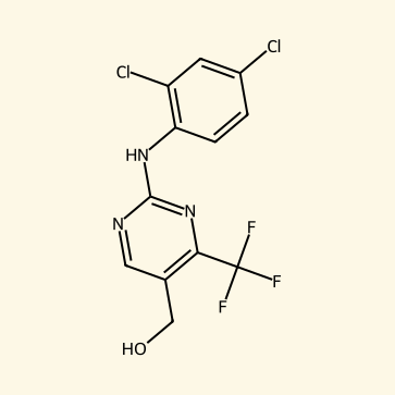 OCc1cnc(Nc2ccc(Cl)cc2Cl)nc1C(F)(F)F